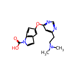 CN(C)CCc1cc(Oc2ccc3c(ccn3C(=O)O)c2)ncn1